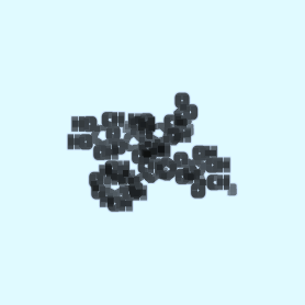 CC(=O)[C@H]1O[C@@H](Oc2ccc(/C=C(\C)C(=O)N[C@H]3[C@@H](O)[C@H](O)[C@@H]4OCO[C@@H]4[C@H]3O)cc2O)[C@@H](O)[C@@H]1O.C[C@@H]1O[C@@H](O[C@H]2C[C@@H](O)[C@]3(CO)[C@H]4[C@H](O)C[C@]5(C)[C@@H](C6=CC(=O)OC6)CC[C@]5(O)[C@@H]4CC[C@]3(O)C2)[C@H](O)[C@H](O)[C@H]1O